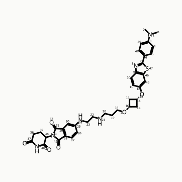 CN(C)c1ccc(-c2nc3ccc(O[C@H]4C[C@H](OCCCNCCNc5ccc6c(c5)C(=O)N(C5CCC(=O)NC5=O)C6=O)C4)cc3s2)cc1